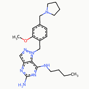 CCCCNc1nc(N)nc2cnn(Cc3ccc(CN4CCCC4)cc3OC)c12